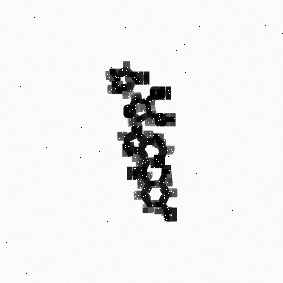 O[C@@H]1[C@H](O)[C@@H](c2nnc[nH]2)O[C@H]1n1cnc2c(Nc3ccc(Cl)cc3F)ncnc21